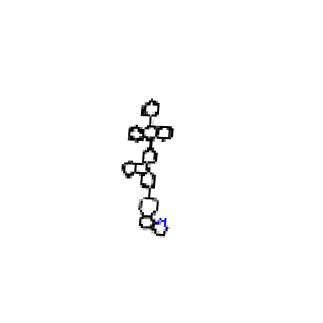 C1=Cc2ccc3cccnc3c2CC=C1c1ccc2c3ccc(-c4c5ccccc5c(-c5ccccc5)c5ccccc45)cc3c3ccccc3c2c1